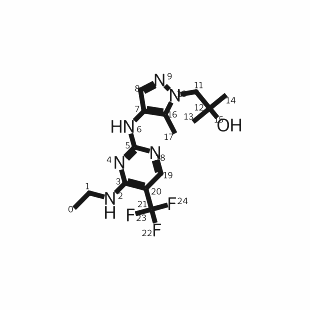 CCNc1nc(Nc2cnn(CC(C)(C)O)c2C)ncc1C(F)(F)F